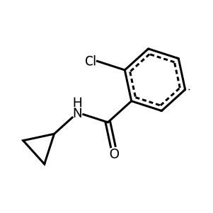 O=C(NC1CC1)c1c[c]ccc1Cl